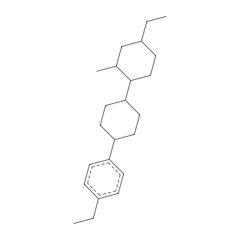 CCc1ccc(C2CCC(C3CCC(CC)CC3C)CC2)cc1